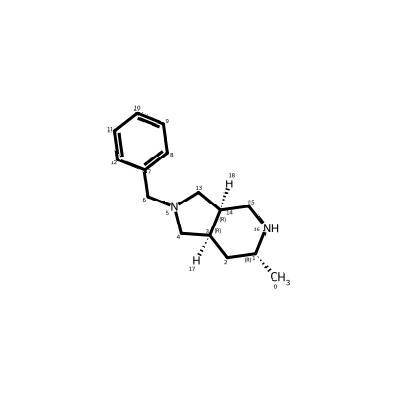 C[C@@H]1C[C@H]2CN(Cc3ccccc3)C[C@H]2CN1